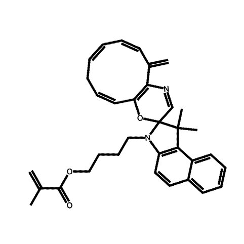 C=C(C)C(=O)OCCCCN1c2ccc3ccccc3c2C(C)(C)C12C=NC1=C(/C=C\C/C=C\C=C/C1=C)O2